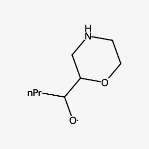 CCCC([O])C1CNCCO1